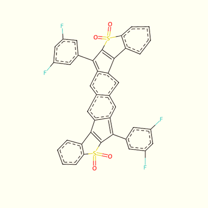 O=S1(=O)C2=C(c3ccccc31)c1cc3cc4c(cc3cc1=C2c1cc(F)cc(F)c1)C1=C(C=4c2cc(F)cc(F)c2)S(=O)(=O)c2ccccc21